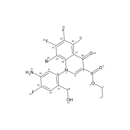 CCOC(=O)c1cn(-c2cc(N)c(F)cc2CO)c2c(Br)c(F)c(F)c(C)c2c1=O